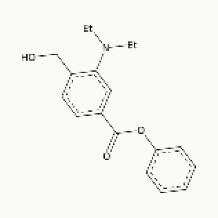 CCN(CC)c1cc(C(=O)Oc2ccccc2)ccc1CO